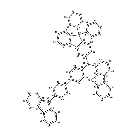 c1ccc(C2(c3ccccc3)c3ccccc3-c3cc(N(c4ccc(-c5ccc(-n6c7ccccc7c7ccccc76)cc5)cc4)c4cccc5c4oc4ccccc45)ccc32)cc1